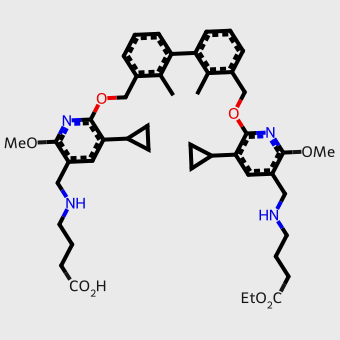 CCOC(=O)CCCNCc1cc(C2CC2)c(OCc2cccc(-c3cccc(COc4nc(OC)c(CNCCCC(=O)O)cc4C4CC4)c3C)c2C)nc1OC